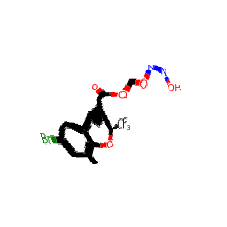 Cc1cc(Br)cc2c1O[C@H](C(F)(F)F)C(C(=O)OCO/N=N\O)=C2